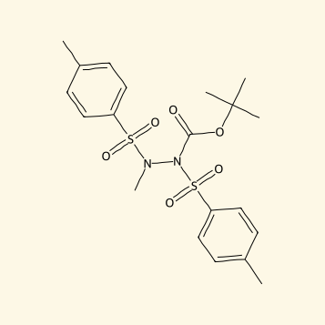 Cc1ccc(S(=O)(=O)N(C)N(C(=O)OC(C)(C)C)S(=O)(=O)c2ccc(C)cc2)cc1